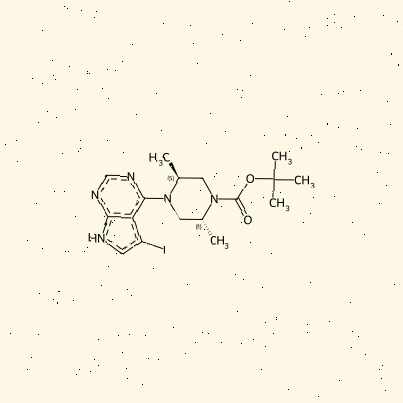 C[C@@H]1CN(c2ncnc3[nH]cc(I)c23)[C@@H](C)CN1C(=O)OC(C)(C)C